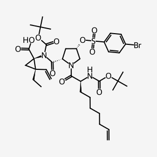 C=CCCCCC[C@H](NC(=O)OC(C)(C)C)C(=O)N1C[C@@H](OS(=O)(=O)c2ccc(Br)cc2)C[C@H]1C(=O)N(C(=O)OC(C)(C)C)[C@]1(C(=O)O)C[C@]1(C=C)CC